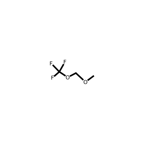 COCOC(F)(F)F